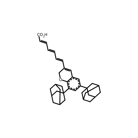 O=C(O)/C=C/C=C/C=C/C1=Cc2cc(C34CC5CC(CC(C5)C3)C4)cc(C34CC5CC(CC(C5)C3)C4)c2OC1